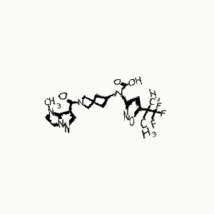 Cn1ccn2ncc(C(=O)N3CC4(CC(N(C(=O)O)c5cc(C(C)(C)C(F)(F)F)on5)C4)C3)c12